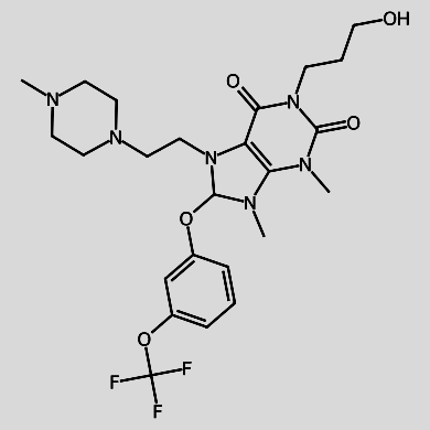 CN1CCN(CCN2c3c(n(C)c(=O)n(CCCO)c3=O)N(C)C2Oc2cccc(OC(F)(F)F)c2)CC1